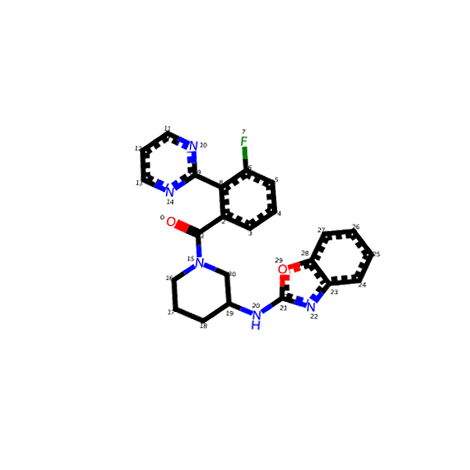 O=C(c1cccc(F)c1-c1ncccn1)N1CCCC(Nc2nc3ccccc3o2)C1